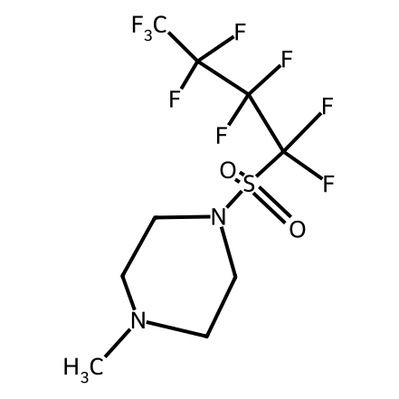 CN1CCN(S(=O)(=O)C(F)(F)C(F)(F)C(F)(F)C(F)(F)F)CC1